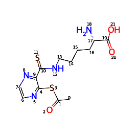 CC(=O)Sc1nccnc1C(=S)NCCCC[C@H](N)C(=O)O